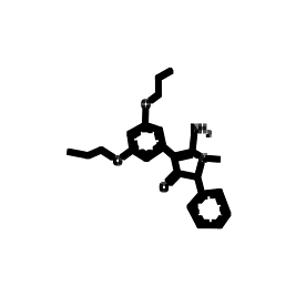 CCCOc1cc(OCCC)cc(C2=C(N)N(C)C(c3ccccc3)C2=O)c1